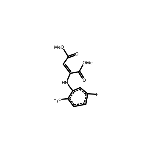 COC(=O)/C=C(/Nc1cc(F)ccc1C)C(=O)OC